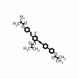 C=C(C)C(=O)Oc1ccc(/C=C/c2cc(OC(=O)C(=C)C)c(C#Cc3ccc(-c4ccc(OC(=O)C(=C)C)cc4)cc3)cc2F)cc1